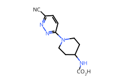 N#Cc1ccc(N2CCC(NC(=O)O)CC2)nn1